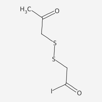 CC(=O)CSSCC(=O)I